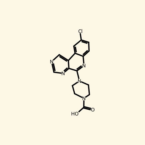 O=C(O)N1CCN(c2nc3ccc(Cl)cc3c3cncnc23)CC1